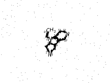 C=Cn1c2ccncc2c2cnccc21